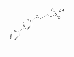 O=S(=O)(O)CCCOc1ccc(-c2ccccc2)cc1